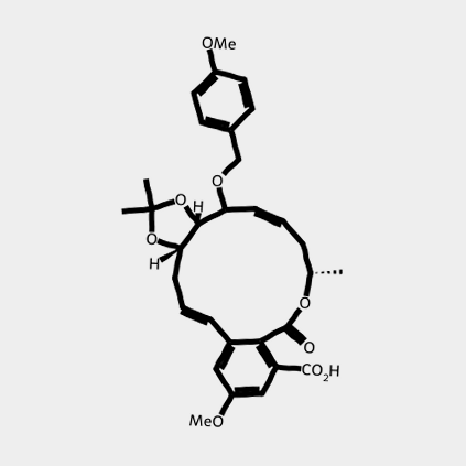 COc1ccc(COC2/C=C\C[C@H](C)OC(=O)c3c(cc(OC)cc3C(=O)O)/C=C/C[C@@H]3OC(C)(C)O[C@H]23)cc1